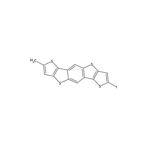 Cc1cc2sc3cc4c(cc3c2s1)sc1cc(I)sc14